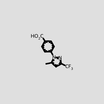 Cc1cc(C(F)(F)F)nn1-c1ccc(C(=O)O)cc1